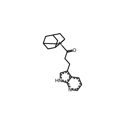 O=C(CCc1c[nH]c2ncccc12)N1C2CC3CC(C2)CC1C3